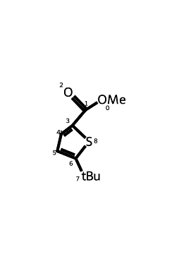 COC(=O)c1[c]cc(C(C)(C)C)s1